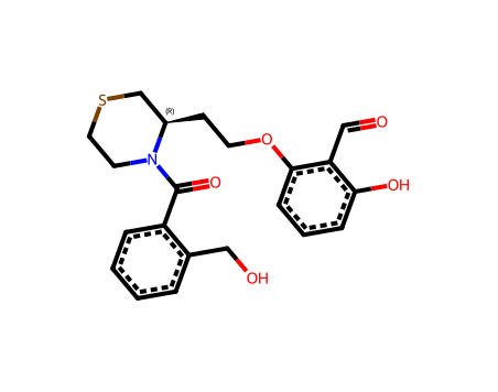 O=Cc1c(O)cccc1OCC[C@@H]1CSCCN1C(=O)c1ccccc1CO